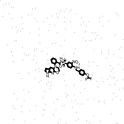 O=C(NS(=O)(=O)c1ccc(NCc2ccc(OC(F)F)cc2)c([N+](=O)[O-])c1)c1ccccc1N1CCOc2nc3[nH]ccc3cc21